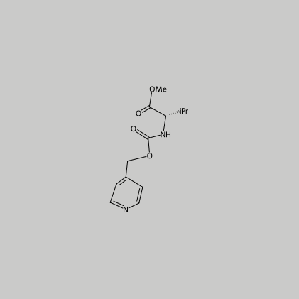 COC(=O)[C@@H](NC(=O)OCc1ccncc1)C(C)C